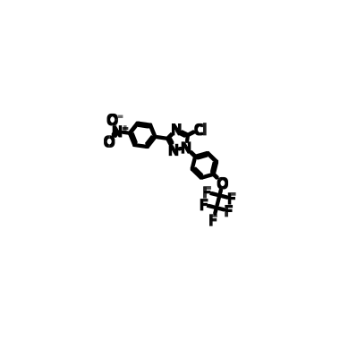 O=[N+]([O-])c1ccc(-c2nc(Cl)n(-c3ccc(OC(F)(F)C(F)(F)F)cc3)n2)cc1